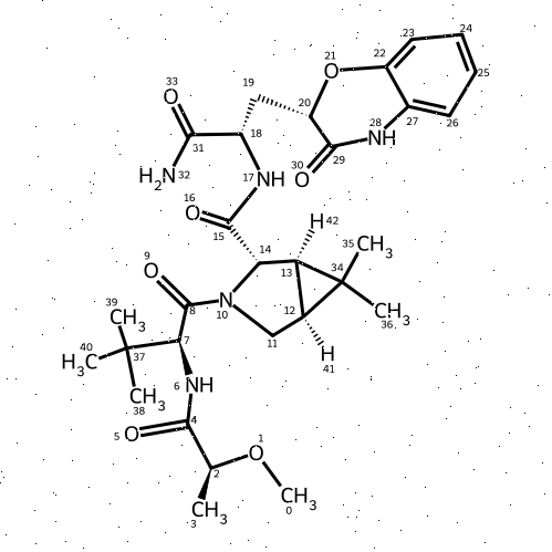 CO[C@@H](C)C(=O)N[C@H](C(=O)N1C[C@H]2[C@@H]([C@H]1C(=O)N[C@@H](C[C@@H]1Oc3ccccc3NC1=O)C(N)=O)C2(C)C)C(C)(C)C